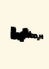 COc1ccc(C2C=NN=N2)cc1C(=O)N1CCC(CCN2CCC(NC(=O)N3CCC(C(=O)O)CC3)(c3ccccc3)CC2)(c2ccc(Cl)c(Cl)c2)C1